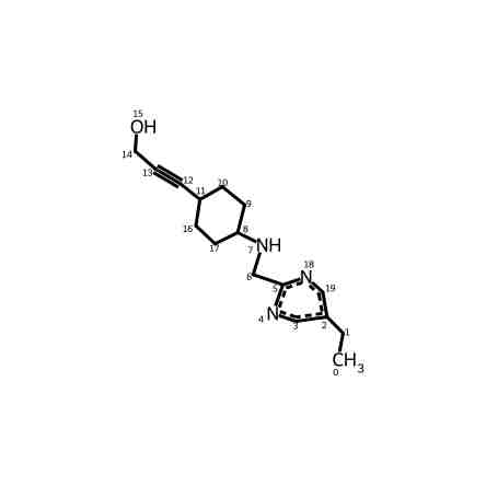 CCc1cnc(CNC2CCC(C#CCO)CC2)nc1